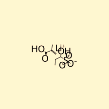 C=C(C)C(=O)O.CCC(O)S(=O)(=O)[O-].[Li+]